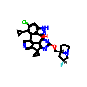 Oc1nc(OC[C@@]23CCCN2C[C@H](F)C3)nc2c1-c1c(-c3c(C4CC4)c(Cl)cc4[nH]ncc34)cncc1C21CC1